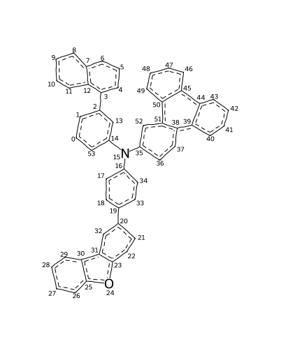 c1cc(-c2cccc3ccccc23)cc(N(c2ccc(-c3ccc4oc5ccccc5c4c3)cc2)c2ccc3c4ccccc4c4ccccc4c3c2)c1